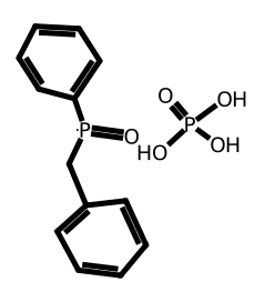 O=P(O)(O)O.O=[P](Cc1ccccc1)c1ccccc1